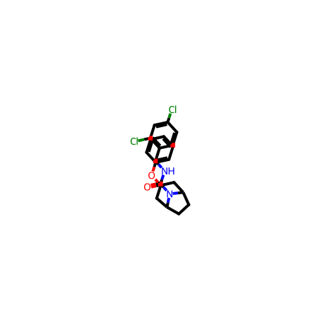 O=C(NCc1ccc(Cl)cc1Cl)N1C2CCC1CC(Oc1ccccc1)C2